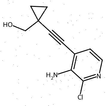 Nc1c(C#CC2(CO)CC2)ccnc1Cl